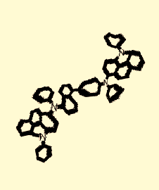 c1ccc(N(c2ccc(-c3cccc4c(N(c5ccccc5)c5ccc6c7c5ccc5cccc(c57)n6-c5ccccc5)cccc34)cc2)c2ccc3c4c2ccc2cccc(c24)n3-c2ccccc2)cc1